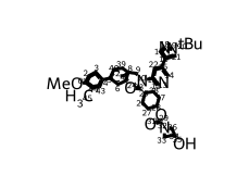 COc1ccc(C23CCC(CN(c4cncc(-c5cnn(C(C)(C)C)c5)c4)C(=O)[C@H]4CC[C@H](OC(=O)N5CC(O)C5)CC4)(CC2)CC3)cc1C